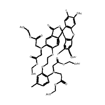 CC(=O)OCOC(=O)CN(CC(=O)OCOC(C)=O)c1ccc(C)cc1OCCOc1cc2c(cc1N(CC(=O)OCOC(C)=O)CC(=O)OCOC(C)=O)C(=O)OC21c2cc(F)c(OC(C)=O)cc2Oc2cc(OC(C)=O)c(F)cc21